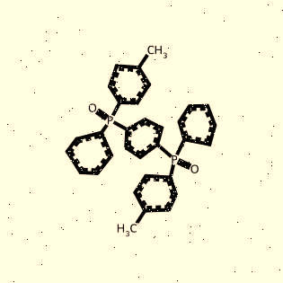 Cc1ccc(P(=O)(c2ccccc2)c2ccc(P(=O)(c3ccccc3)c3ccc(C)cc3)cc2)cc1